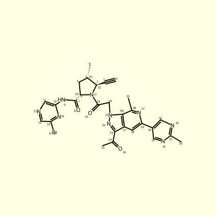 C#C[C@@H]1[C@@H](C)C[C@@H](C(=O)Nc2cncc(Br)n2)N1C(=O)Cn1nc(C(C)=O)c2cc(-c3cnc(C)nc3)nc(C)c21